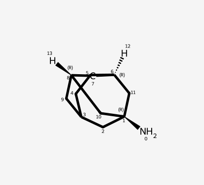 N[C@@]12CC3CC[C@H](C[C@@H](C3)C1)C2